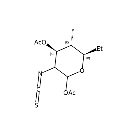 CC[C@H]1OC(OC(C)=O)C(N=C=S)[C@@H](OC(C)=O)[C@@H]1C